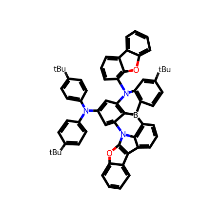 CC(C)(C)c1ccc(N(c2ccc(C(C)(C)C)cc2)c2cc3c4c(c2)-n2c5oc6ccccc6c5c5cccc(c52)B4c2ccc(C(C)(C)C)cc2N3c2cccc3c2oc2ccccc23)cc1